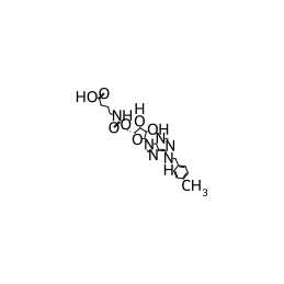 Cc1ccc(CNc2ncnc3c2ncn3[C@@H]2O[C@H](COC(=O)NCCCC(=O)O)C(O)[C@@H]2O)cc1